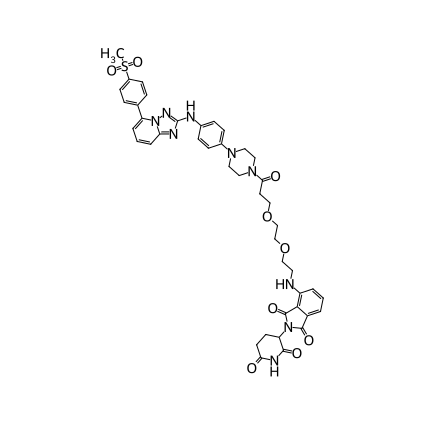 CS(=O)(=O)c1ccc(-c2cccc3nc(Nc4ccc(N5CCN(C(=O)CCOCCOCCNc6cccc7c6C(=O)N(C6CCC(=O)NC6=O)C7=O)CC5)cc4)nn23)cc1